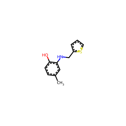 Cc1ccc(O)c(NCc2cccs2)c1